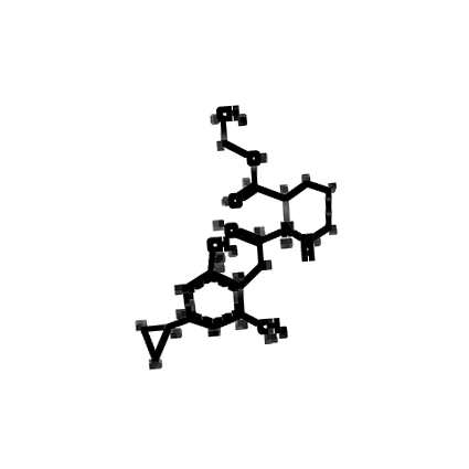 CCOC(=O)C1CCCNN1C(=O)Cc1c(C)cc(C2CC2)cc1C